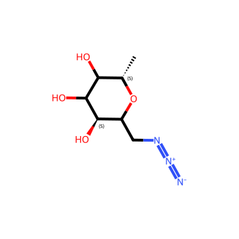 C[C@@H]1OC(CN=[N+]=[N-])[C@@H](O)C(O)C1O